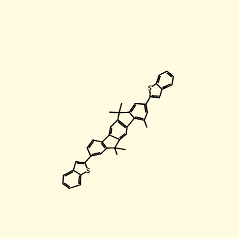 Cc1cc(-c2cc3ccccc3s2)cc2c1-c1cc3c(cc1C2(C)C)-c1ccc(-c2cc4ccccc4s2)cc1C3(C)C